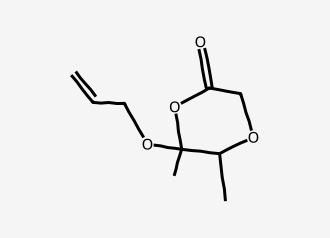 C=CCOC1(C)OC(=O)COC1C